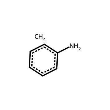 C.Nc1ccccc1